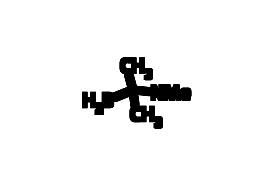 BC(C)(C)NC